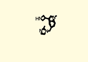 Cc1nccn1Cc1ccc2c(c1)c(C1CNC1)cn2C